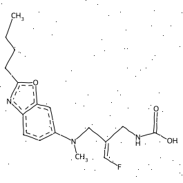 CCCCc1nc2ccc(N(C)CC(=CF)CNC(=O)O)cc2o1